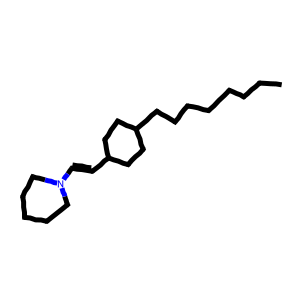 CCCCCCCCC1CCC(C=CN2CCCCC2)CC1